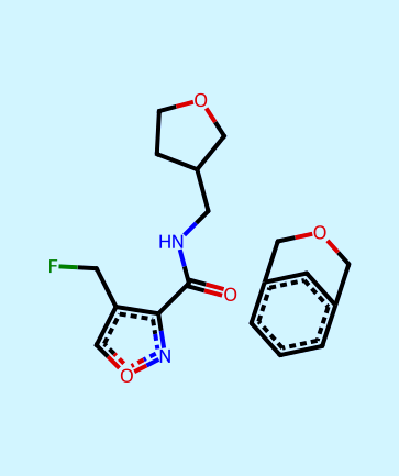 O=C(NCC1CCOC1)c1nocc1CF.c1cc2cc(c1)COC2